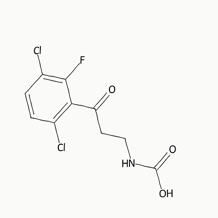 O=C(O)NCCC(=O)c1c(Cl)ccc(Cl)c1F